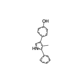 Cc1c(-c2ccc(O)cc2)c[nH]c1-c1ccccc1